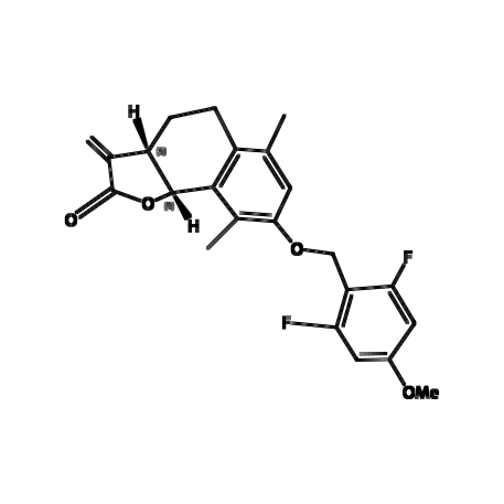 C=C1C(=O)O[C@H]2c3c(C)c(OCc4c(F)cc(OC)cc4F)cc(C)c3CC[C@@H]12